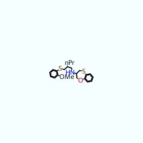 CCC[C@H](CNC1COc2ccccc2SC1)CSc1ccccc1OC